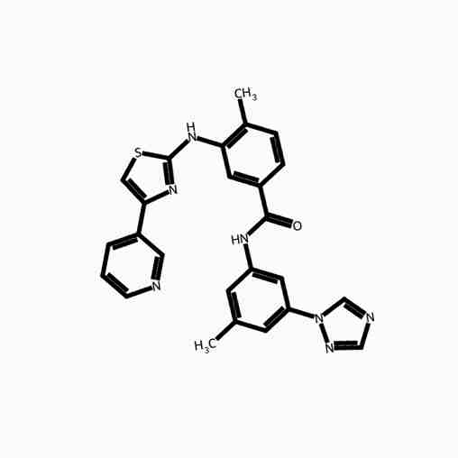 Cc1cc(NC(=O)c2ccc(C)c(Nc3nc(-c4cccnc4)cs3)c2)cc(-n2cncn2)c1